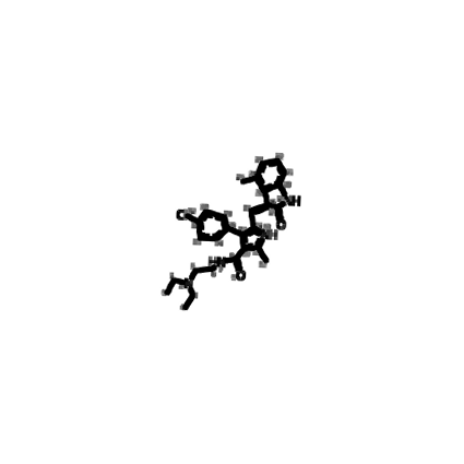 CCN(CC)CCNC(=O)c1c(C)[nH]c(C=C2C(=O)Nc3cccc(C)c32)c1-c1ccc(Cl)cc1